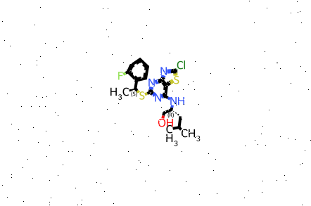 CC(C)C[C@H](CO)Nc1nc(S[C@@H](C)c2ccccc2F)nc2nc(Cl)sc12